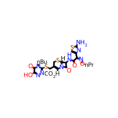 CCCCn1c(SCC2=C(C(=O)O)N3C(=O)C(NC(=O)/C(=N\OCCC)c4csc(N)n4)[C@H]3SC2)nnc(O)c1=O